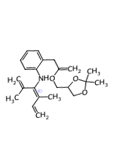 C=C/C(C)=C(/Nc1ccccc1CC(=C)OCC1COC(C)(C)O1)C(=C)C